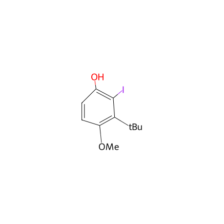 COc1ccc(O)c(I)c1C(C)(C)C